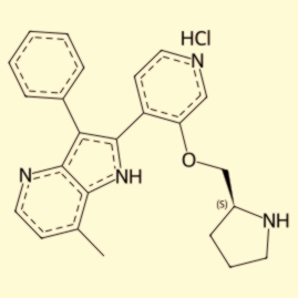 Cc1ccnc2c(-c3ccccc3)c(-c3ccncc3OC[C@@H]3CCCN3)[nH]c12.Cl